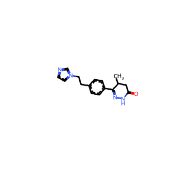 CC1CC(=O)NN=C1c1ccc(CCn2ccnc2)cc1